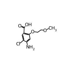 COCCOc1cc(N)c(Cl)cc1C(=O)O